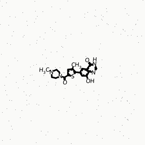 Cc1cc(C(=O)N2CCN(C)CC2)sc1-c1cc(O)c2nc[nH]c(=O)c2c1